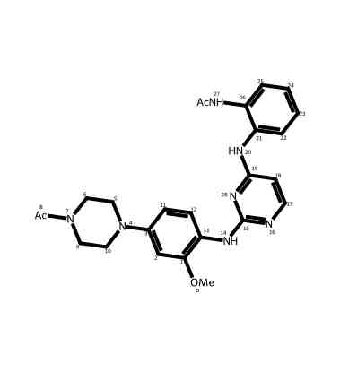 COc1cc(N2CCN(C(C)=O)CC2)ccc1Nc1nccc(Nc2ccccc2NC(C)=O)n1